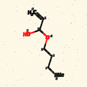 C=CC(O)OCCCSC